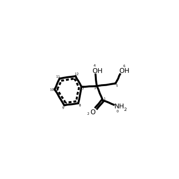 NC(=O)C(O)(CO)c1ccccc1